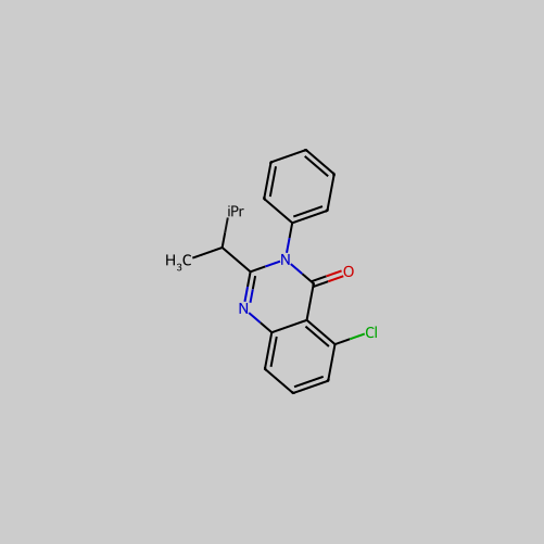 CC(C)C(C)c1nc2cccc(Cl)c2c(=O)n1-c1ccccc1